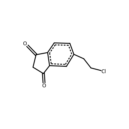 O=C1CC(=O)c2cc(CCCl)ccc21